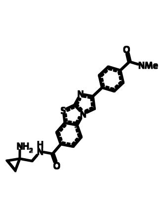 CNC(=O)c1ccc(-c2cn3c(n2)sc2cc(C(=O)NCC4(N)CC4)ccc23)cc1